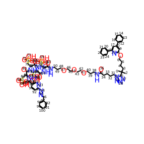 CC(C)(CCCCOc1cc(-c2ccccc2)cc(-c2ccccc2)n1)c1nnnn1CCCCC(=O)NCCCOCCOCCOCCCNC(=O)[C@H](CS(=O)(=O)O)NC(=O)[C@H](CS(=O)(=O)O)NC(=O)[C@H](CS(=O)(=O)O)NC(=O)[C@H](CS(=O)(=O)O)NC(=O)c1ccc(N=NCc2ccccc2)nc1